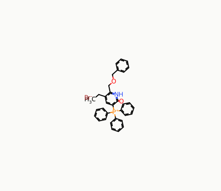 CCc1cc([P+](c2ccccc2)(c2ccccc2)c2ccccc2)c(=O)[nH]c1COCc1ccccc1.[Br-]